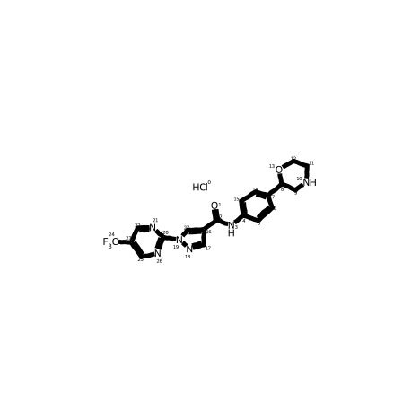 Cl.O=C(Nc1ccc(C2CNCCO2)cc1)c1cnn(-c2ncc(C(F)(F)F)cn2)c1